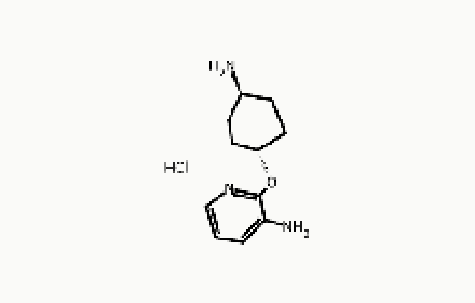 Cl.Nc1cccnc1O[C@H]1CC[C@H](N)CC1